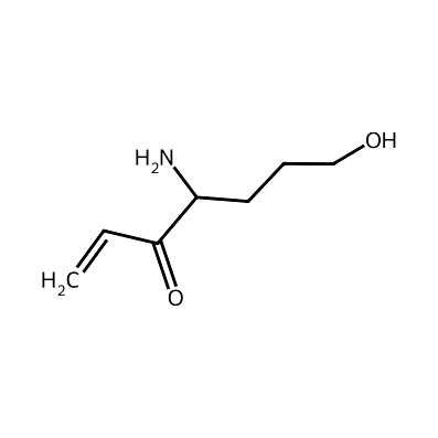 C=CC(=O)C(N)CCCO